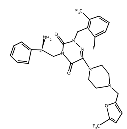 N[C@@H](Cn1c(=O)c(N2CCN(Cc3ccc(C(F)(F)F)o3)CC2)nn(Cc2c(F)cccc2C(F)(F)F)c1=O)c1ccccc1